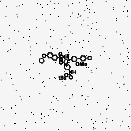 COc1cc(C(F)(F)C(NS(=O)(=O)c2ccc3cc(OC4CCCC4)ccc3c2)C(=O)N2CCC(NC(=O)OC(C)(C)C)CC2)ccc1-c1ccc(Cl)cc1